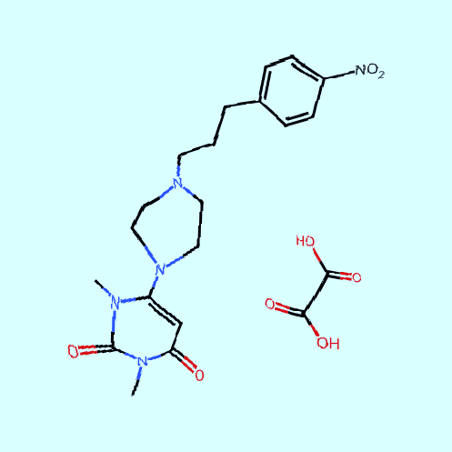 Cn1c(N2CCN(CCCc3ccc([N+](=O)[O-])cc3)CC2)cc(=O)n(C)c1=O.O=C(O)C(=O)O